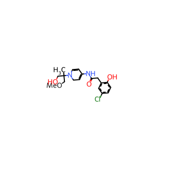 COCC(C)(CO)N1C=CC(NC(=O)Cc2cc(Cl)ccc2O)=CC1